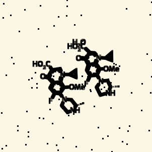 COc1c(N2CCN[C@@H](C)C2)c(F)cc2c(=O)c(C(=O)O)cn(C3CC3)c12.COc1c(N2CCN[C@@H](C)C2)c(F)cc2c(=O)c(C(=O)O)cn(C3CC3)c12.O